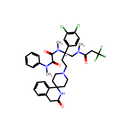 CN(C[C@](CCN1CCC2(CC1)NC(=O)Cc1ccccc12)(c1ccc(Cl)c(Cl)c1)N(C)C(=O)C(=O)N(C)c1ccccc1)C(=O)CC(F)(F)F